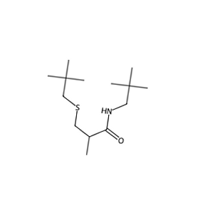 CC(CSCC(C)(C)C)C(=O)NCC(C)(C)C